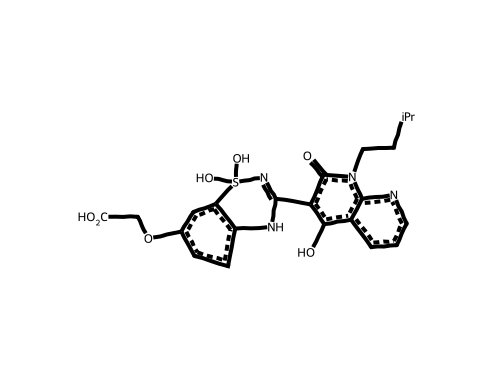 CC(C)CCn1c(=O)c(C2=NS(O)(O)c3cc(OCC(=O)O)ccc3N2)c(O)c2cccnc21